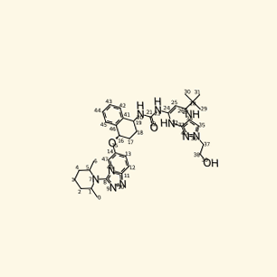 CC1CCCC(C)N1c1nnc2ccc(O[C@@H]3CCC(NC(=O)N/C(=C/C(=N)C(C)(C)C)Nc4ccn(CCO)n4)c4ccccc43)cn12